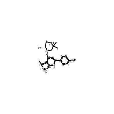 CC[C@@H]1CNC(C)(C)CN1Cc1cc(-c2ccc(O)cc2)nc2[nH]nc(C)c12